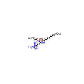 CCCCCCCC/C=C/CCCCCCCC(=O)N[C@@H](CCCNC(=N)N)C(=O)NCCCCCCCCCCCC